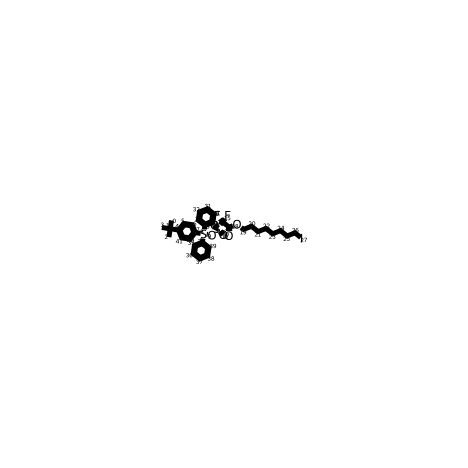 CC(C)(C)c1ccc(S(OS(=O)(=O)C(F)(F)C(=O)OCCCCCCCCI)(c2ccccc2)c2ccccc2)cc1